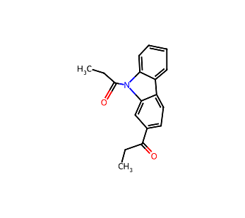 CCC(=O)c1ccc2c3ccccc3n(C(=O)CC)c2c1